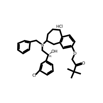 CC(C)(C)C(=O)COc1ccc2c(c1)CC(N(Cc1ccccc1)C[C@H](O)c1cccc(Cl)c1)CCC2.Cl